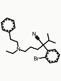 CCN(CCCC(C#N)(c1ccccc1Br)C(C)C)CCc1ccccc1